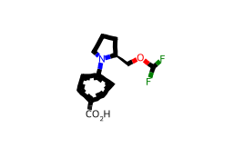 O=C(O)c1ccc(N2CCC[C@H]2COC(F)F)cc1